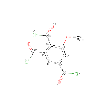 COc1cc(C(=O)Cl)cc(C(=O)Cl)c1C(=O)Cl